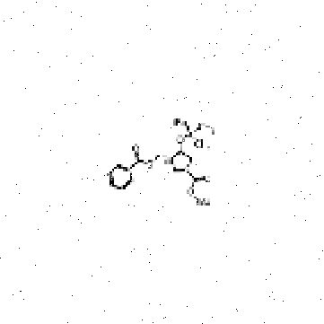 CC(C)(C)OC(=O)N1CC(O[Si](C)(C)C(C)(C)C)[C@@H](COC(=O)c2ccccc2)C1